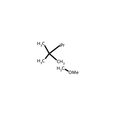 CC(C)C(C)(C)C.COC